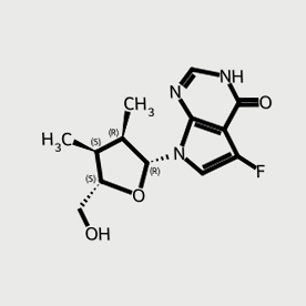 C[C@@H]1[C@H](C)[C@@H](CO)O[C@H]1n1cc(F)c2c(=O)[nH]cnc21